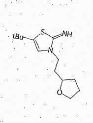 CC(C)(C)c1cn(CCC2CCCO2)c(=N)s1